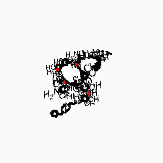 CN[C@H](CC(C)C)C(=O)NC1C(=O)N[C@@H](CC(N)=O)C(=O)N[C@H]2C(=O)N[C@@H](C)c3ccc(O)c(c3)-c3c(O)cc(O)cc3[C@H](C(=O)O)NC(=O)[C@@H](NC=O)[C@H](OC3C[C@](C)(N)[C@@H](O)[C@H](C)O3)c3ccc(c(Cl)c3)Oc3cc2cc(c3O[C@@H]2O[C@H](CO)[C@@H](O[C@@H]3O[C@H](CNCCN4CCN(Cc5ccccc5)CC4)[C@H](O)[C@H](O)[C@H]3O)[C@H](O)[C@H]2O)Oc2ccc(cc2Cl)[C@H]1O